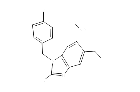 Nc1nc2cc(CO)ccc2n1Cc1ccc(Br)cc1.O=NO